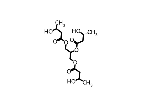 CC(O)CC(=O)OCC(COC(=O)CC(C)O)OC(=O)C[C@@H](C)O